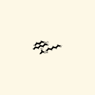 CC(O)[S-].CCCCCC[S-].CCCCCC[S-].CCC[CH2][Sn+3]